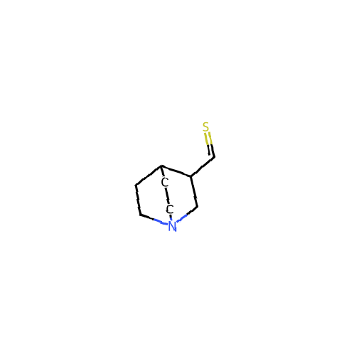 S=CC1CN2CCC1CC2